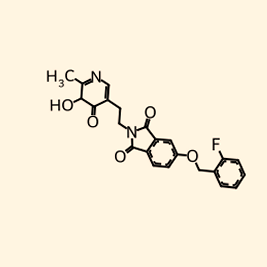 CC1=NC=C(CCN2C(=O)c3ccc(OCc4ccccc4F)cc3C2=O)C(=O)C1O